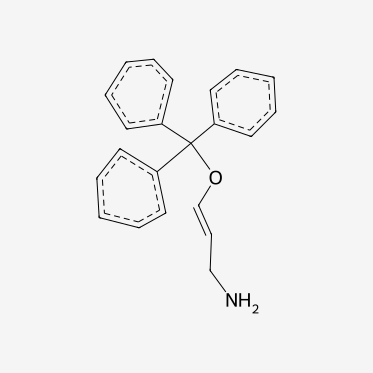 NCC=COC(c1ccccc1)(c1ccccc1)c1ccccc1